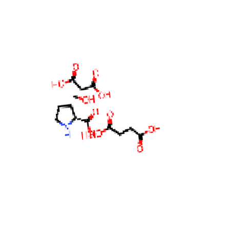 CO.O=C(O)CC(=O)O.O=C(O)CCC(=O)O.O=C(O)[C@@H]1CCCN1